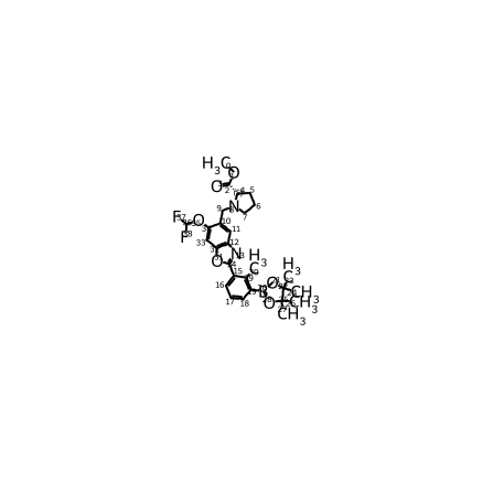 COC(=O)[C@@H]1CCCN1Cc1cc2nc(-c3cccc(B4OC(C)(C)C(C)(C)O4)c3C)oc2cc1OC(F)F